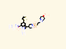 NC(=O)c1cc(-c2cccs2)cc2c(C3CCN(S(=O)(=O)CCCN4CCC(O)CC4)CC3)c[nH]c12